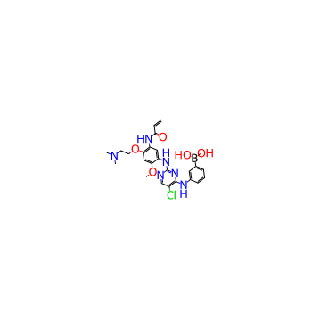 C=CC(=O)Nc1cc(Nc2ncc(Cl)c(Nc3cccc(B(O)O)c3)n2)c(OC)cc1OCCN(C)C